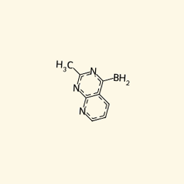 Bc1nc(C)nc2ncccc12